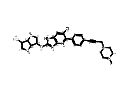 CN1CCN(CC#Cc2ccc(-c3nc4nc(OC5COC6C(O)COC56)[nH]c4cc3Cl)cc2)CC1